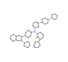 c1ccc(-c2ccc(-c3cccc(N(c4ccc(-c5cc6ccccc6cc5-c5ccccc5)cc4)c4cccc5c4sc4ccccc45)c3)cc2)cc1